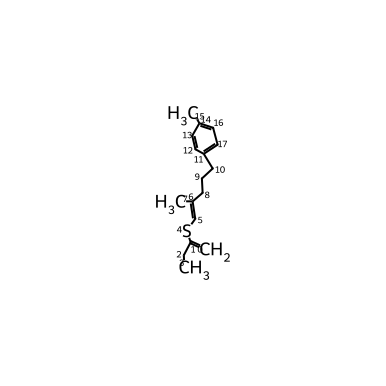 C=C(CC)S/C=C(\C)CCCc1ccc(C)cc1